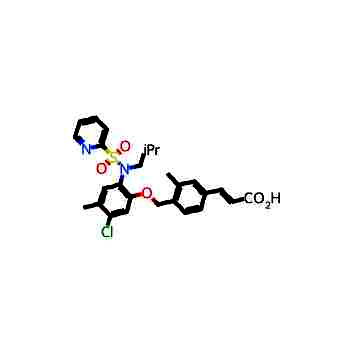 Cc1cc(N(CC(C)C)S(=O)(=O)c2ccccn2)c(OCc2ccc(C=CC(=O)O)cc2C)cc1Cl